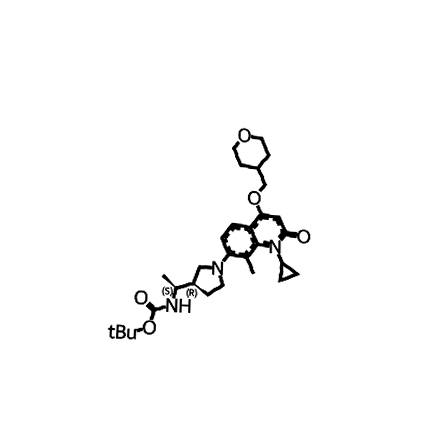 Cc1c(N2CC[C@@H]([C@H](C)NC(=O)OC(C)(C)C)C2)ccc2c(OCC3CCOCC3)cc(=O)n(C3CC3)c12